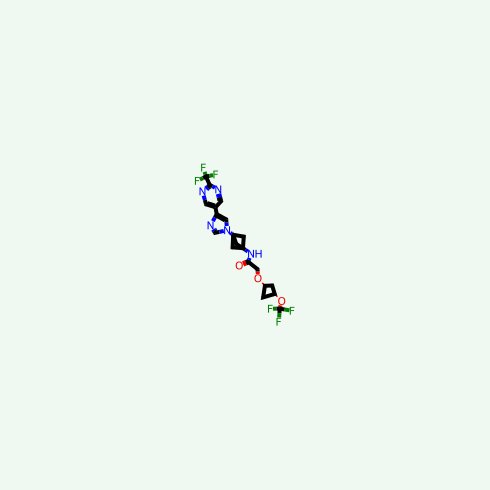 O=C(CO[C@H]1C[C@@H](OC(F)(F)F)C1)NC12CC(n3cnc(-c4cnc(C(F)(F)F)nc4)c3)(C1)C2